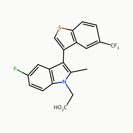 Cc1c(-c2csc3ccc(C(F)(F)F)cc23)c2cc(F)ccc2n1CC(=O)O